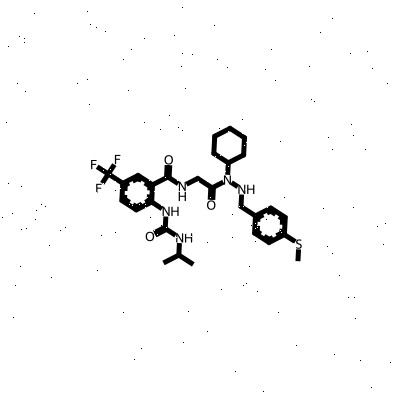 CSc1ccc(CNN(C(=O)CNC(=O)c2cc(C(F)(F)F)ccc2NC(=O)NC(C)C)C2CCCCC2)cc1